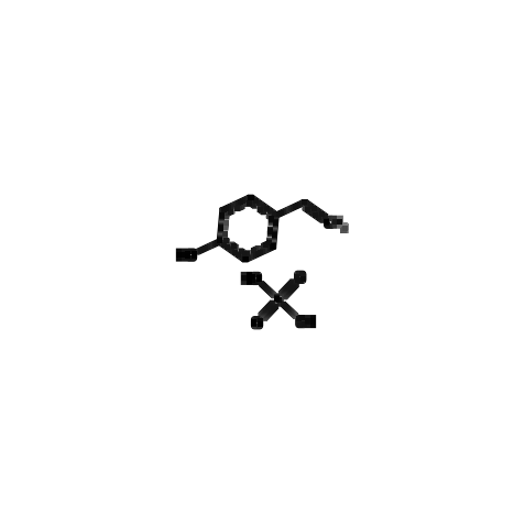 C=Cc1ccc(O)cc1.O=S(=O)(O)O